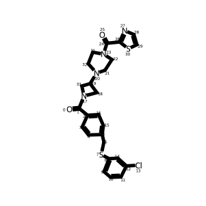 O=C(c1ccc(CSc2cccc(Cl)c2)cc1)N1CC(N2CCN(C(=O)c3nccs3)CC2)C1